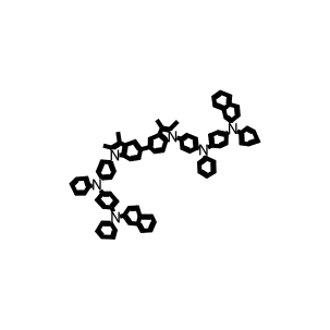 Cc1c(C)n(-c2ccc(N(c3ccccc3)c3ccc(N(c4ccccc4)c4ccc5ccccc5c4)cc3)cc2)c2ccc(-c3ccc4c(c3)c(C)c(C)n4-c3ccc(N(c4ccccc4)c4ccc(N(c5ccccc5)c5ccc6ccccc6c5)cc4)cc3)cc12